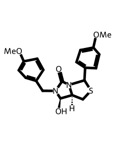 COc1ccc(CN2C(=O)N3C(c4ccc(OC)cc4)SC[C@H]3[C@H]2O)cc1